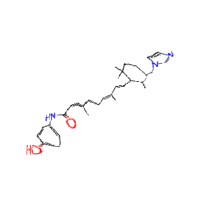 CC(/C=C/C1C(C)C(Cn2ccnc2)CCC1(C)C)=C\C=C\C(C)=C\C(=O)Nc1ccc(O)cc1